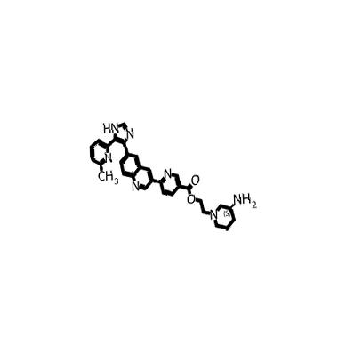 Cc1cccc(-c2[nH]cnc2-c2ccc3ncc(-c4ccc(C(=O)OCCN5CCC[C@H](N)C5)cn4)cc3c2)n1